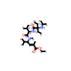 CCOC(=O)/C(C)=C/C(C(C)C)N(C)C(=O)C(NC(=O)C(CC)(CC)NC(C)C)C(C)C